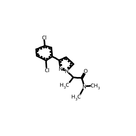 CC(C(=O)N(C)C)n1ccc(-c2cc(Cl)ccc2Cl)n1